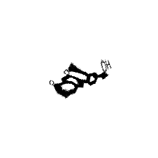 C=C(O)c1ccc2c(c1)COc1cc3c(cc1-2)CCCC3=O